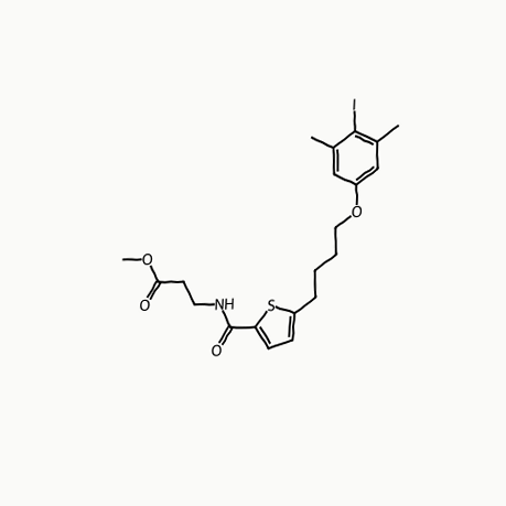 COC(=O)CCNC(=O)c1ccc(CCCCOc2cc(C)c(I)c(C)c2)s1